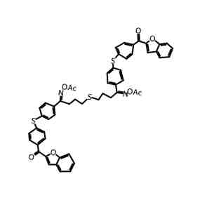 CC(=O)O/N=C(/CCCSCCC/C(=N\OC(C)=O)c1ccc(Sc2ccc(C(=O)c3cc4ccccc4o3)cc2)cc1)c1ccc(Sc2ccc(C(=O)c3cc4ccccc4o3)cc2)cc1